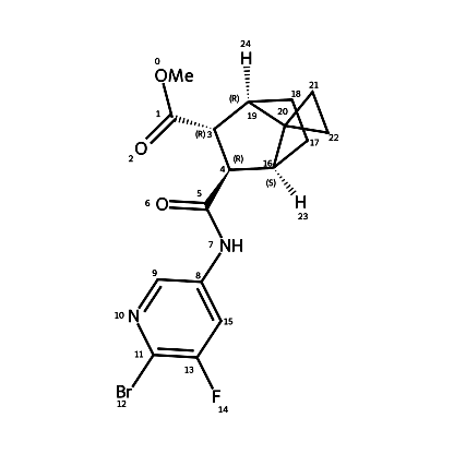 COC(=O)[C@H]1[C@H](C(=O)Nc2cnc(Br)c(F)c2)[C@@H]2CC[C@H]1C21CC1